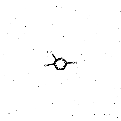 Cc1nc(O)ccc1Cl